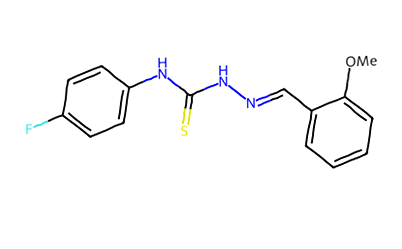 COc1ccccc1C=NNC(=S)Nc1ccc(F)cc1